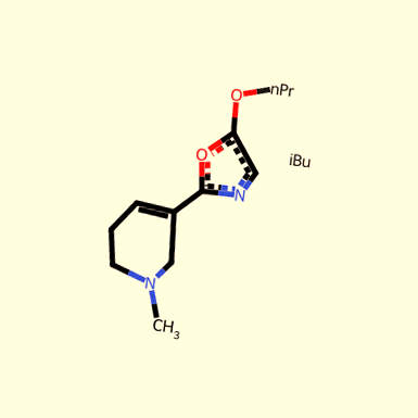 CCCOc1oc(C2=CCCN(C)C2)nc1[C@H](C)CC